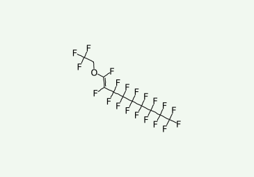 FC(OCC(F)(F)F)=C(F)C(F)(F)C(F)(F)C(F)(F)C(F)(F)C(F)(F)C(F)(F)C(F)(F)F